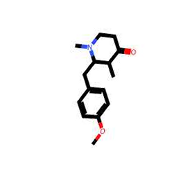 COc1ccc(CC2C(C)C(=O)CCN2C)cc1